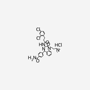 CN(C)CCCN1C(=O)C(NC(=O)CCc2ccc(Cl)cc2Cl)N=C(c2ccc(C(N)=O)cc2)c2ccccc21.Cl